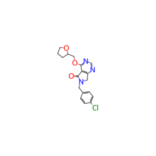 O=C1c2c(ncnc2OCC2CCCO2)CN1Cc1ccc(Cl)cc1